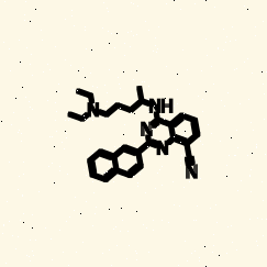 CCN(CC)CCCC(C)Nc1nc(-c2ccc3ccccc3c2)nc2c(C#N)cccc12